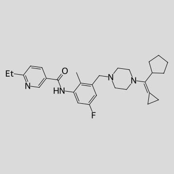 CCc1ccc(C(=O)Nc2cc(F)cc(CN3CCN(C(=C4CC4)C4CCCC4)CC3)c2C)cn1